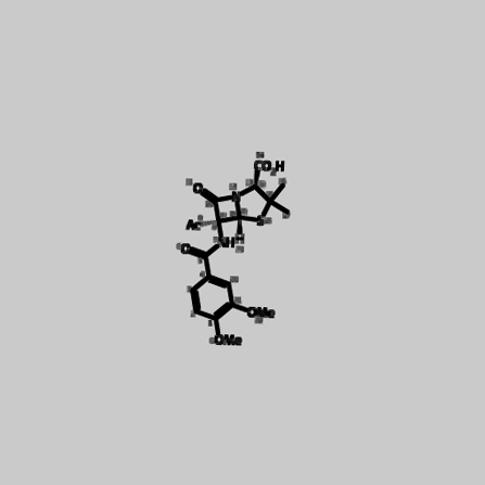 COc1ccc(C(=O)N[C@@]2(C(C)=O)C(=O)N3[C@@H](C(=O)O)C(C)(C)S[C@@H]32)cc1OC